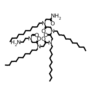 CCCCCCCCCCN(CC(N)=O)C(=O)CN(CCCCCCCCCC)C(=O)CN(CCCCCCCCCC)C(=O)CN(CCCCCCCCCC)C(=O)CN(C=O)CCN